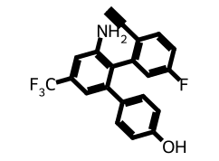 C#Cc1ccc(F)cc1-c1c(N)cc(C(F)(F)F)cc1-c1ccc(O)cc1